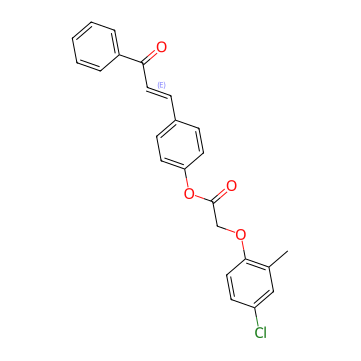 Cc1cc(Cl)ccc1OCC(=O)Oc1ccc(/C=C/C(=O)c2ccccc2)cc1